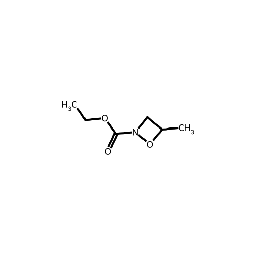 CCOC(=O)N1CC(C)O1